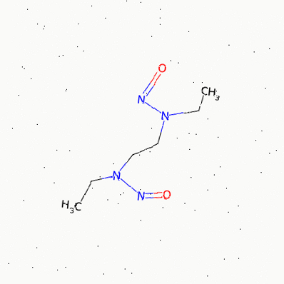 CCN(CCN(CC)N=O)N=O